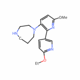 CCOc1ccc(-c2nc(OC)ccc2N2CCCNCC2)cn1